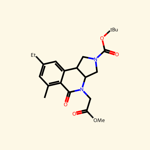 CCc1cc(C)c2c(c1)C1CN(C(=O)OC(C)(C)C)CC1N(CC(=O)OC)C2=O